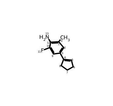 Cc1cc(C2=CCCC2)cc(F)c1N